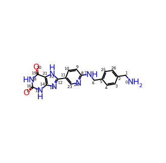 NCc1ccc(CNc2ccc(-c3nc4[nH]c(=O)[nH]c(=O)c4[nH]3)cn2)cc1